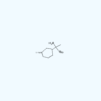 BC(C)(C1CCCC(=C)C1)C(C)(C)C